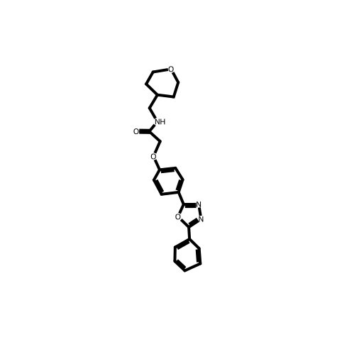 O=C(COc1ccc(-c2nnc(-c3ccccc3)o2)cc1)NCC1CCOCC1